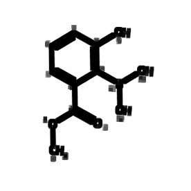 COC(=O)c1cccc(O)c1B(O)O